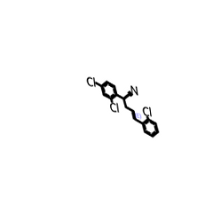 N#CC(C/C=C/c1ccccc1Cl)c1ccc(Cl)cc1Cl